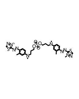 Cc1cc(N(C)CCCOS(=O)(=O)OCCCN(C)c2ccc(/N=N/c3scn[n+]3C)c(C)c2)ccc1/N=N/c1scn[n+]1C